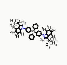 [2H]c1c([2H])c([2H])c2c(c1[2H])c(C(C)(C)C)c([2H])n2-c1ccc([Si](c2ccccc2)(c2ccccc2)c2ccc(-n3c([2H])c(C(C)(C)C)c4c([2H])c([2H])c([2H])c([2H])c43)cc2)cc1